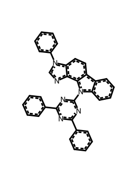 c1ccc(-c2nc(-c3ccccc3)nc(-n3c4ccccc4c4ccc5c(ncn5-c5ccccc5)c43)n2)cc1